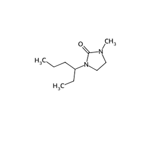 CCCC(CC)N1CCN(C)C1=O